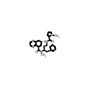 CN(C(=O)c1cccc2nccnc12)C(CCNC(=O)c1cccn1C)Cc1ccccc1